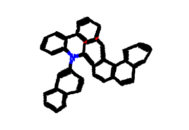 c1ccc(-c2ccccc2N(c2ccc3ccccc3c2)c2cccc3c2ccc2ccc4ccccc4c23)cc1